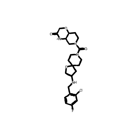 O=C1COC2CCN(C(=O)N3CCC4(CC3)CC(NCc3ccc(F)cc3Cl)CO4)CC2N1